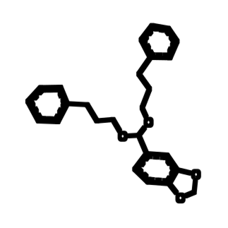 c1ccc(CCCOC(OCCCc2ccccc2)c2ccc3c(c2)OCO3)cc1